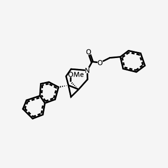 COC[C@@]12CN(C(=O)OCc3ccccc3)CC[C@]1(c1ccc3ccccc3c1)C2